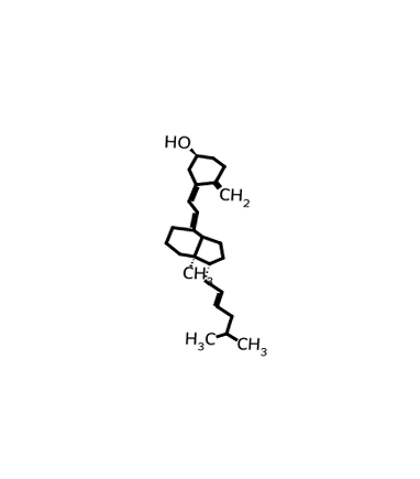 C=C1CC[C@H](O)C/C1=C/C=C1\CCC[C@@]2(C)C1CC[C@@H]2C/C=C/CC(C)C